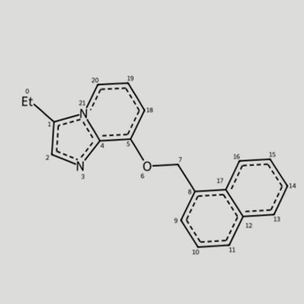 [CH2]Cc1cnc2c(OCc3cccc4ccccc34)cccn12